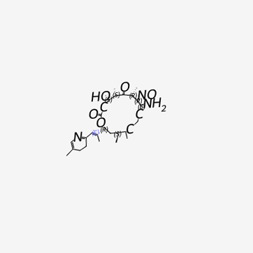 CC1=CN=C(/C=C(\C)[C@H]2C[C@H](C)C(C)CCC[C@H](N)[C@H](N=O)[C@@H](C)C(=O)[C@@H](C)[C@@H](O)CC(=O)O2)CC1